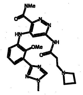 CNC(=O)c1nnc(NC(=O)CCN2CCC2)cc1Nc1cccc(-c2ncn(C)n2)c1OC